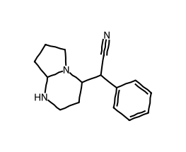 N#CC(c1ccccc1)C1CCNC2CCCN21